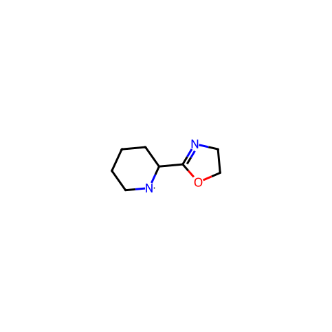 C1CCC(C2=NCCO2)[N]C1